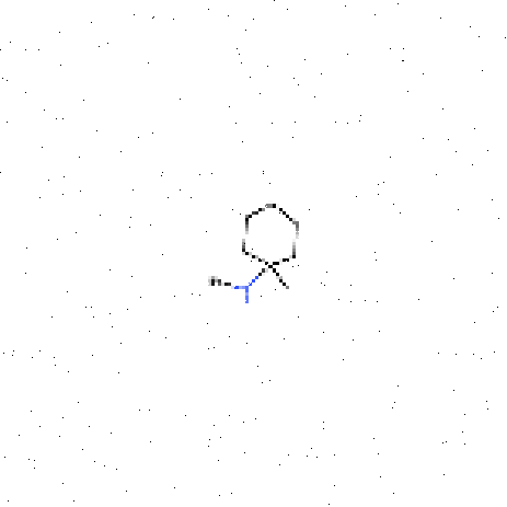 CC(C)NC1(C)CCCCC1